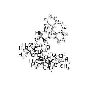 CC(C)(C)[Si](C)(C)OC[C@H]1O[C@@H](n2cc(C3c4ccccc4CCc4ccccc43)c(=S)[nH]c2=O)[C@H](O[Si](C)(C)C(C)(C)C)[C@@H]1O[Si](C)(C)C(C)(C)C